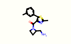 Cc1cccc(-c2sc(C)nc2C(=O)N2CCC2CN)c1